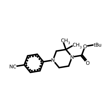 CC(C)(C)OC(=O)N1CCN(c2ccc(C#N)cc2)CC1(C)C